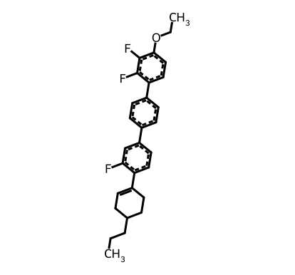 CCCC1CC=C(c2ccc(-c3ccc(-c4ccc(OCC)c(F)c4F)cc3)cc2F)CC1